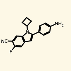 N#Cc1cc2c(cc1F)cc(-c1ccc(N)cc1)n2C1CCC1